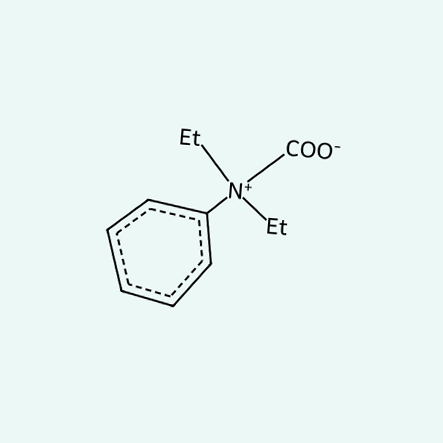 CC[N+](CC)(C(=O)[O-])c1ccccc1